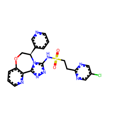 O=S(=O)(CCc1ncc(Cl)cn1)Nc1nnc2n1[C@H](c1cccnc1)COc1cccnc1-2